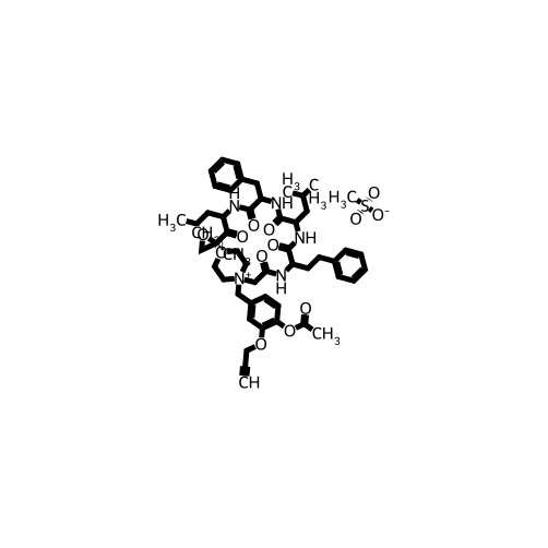 C#CCOc1cc(C[N+]2(CC(=O)NC(CCc3ccccc3)C(=O)NC(CC(C)C)C(=O)NC(Cc3ccccc3)C(=O)NC(CC(C)C)C(=O)[C@@]3(C)CO3)CCOCC2)ccc1OC(C)=O.CS(=O)(=O)[O-]